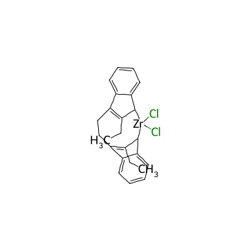 CCC1=C2CCC3=C(CC)[CH](c4ccccc43)[Zr]([Cl])([Cl])[CH]1c1ccccc12